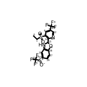 CCS(=O)(=O)c1cc(C(F)(F)F)cnc1C1Nc2cc([S+]([O-])C(F)(F)F)ccc2O1